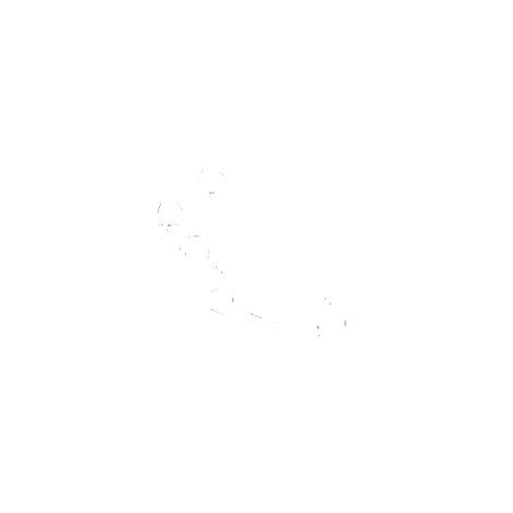 CC(C)C(N)C(=O)OCC(C)(C)C#Cc1ccc2c(c1)N(C)C(=O)[C@@H](NC(=O)c1cc(Oc3ccc(F)cc3)ccn1)CO2